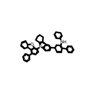 C1=CC2Oc3c(-n4c5c(c6cc(C7C=CC(c8ccccc8)=C(NC8=CCCC=C8)C7)ccc64)CCCC5)ccc(-c4ccccc4)c3C2C=C1